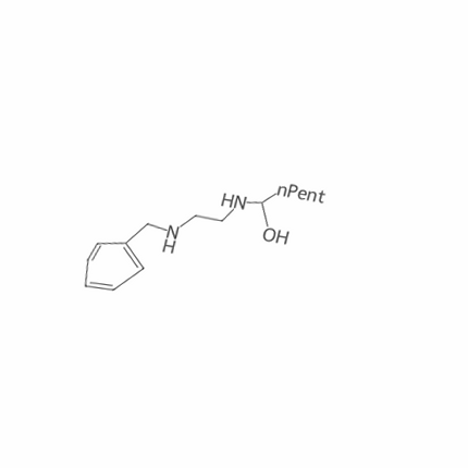 CCCCCC(O)NCCNCc1ccccc1